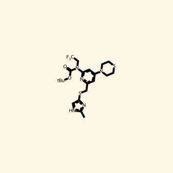 Cc1nc(SCc2cc(N3CCSCC3)cc(N(CC(F)(F)F)C(=O)OC(C)(C)C)n2)c[nH]1